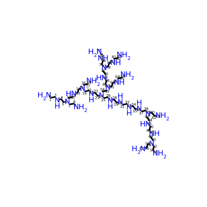 NCCNCCN(CCN)CCNCCN(CCN)CCNCCN(CCNCCNCCNCCNCCN(CCN)CCNCCNCCN(CCN)CCN)CCN(CCNCCN)CCNCCN(CCNCN)CCNCCN